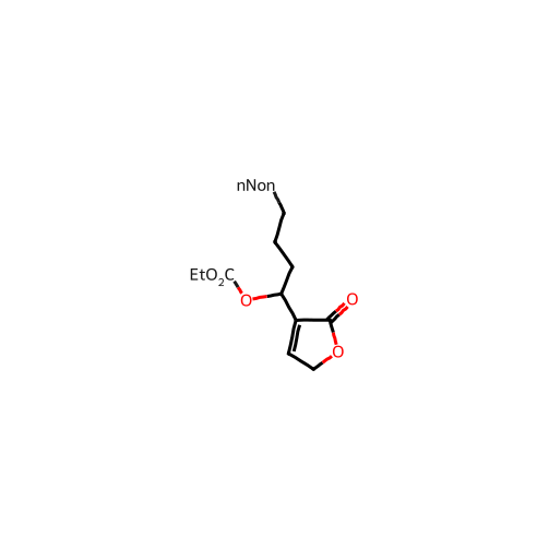 CCCCCCCCCCCCC(OC(=O)OCC)C1=CCOC1=O